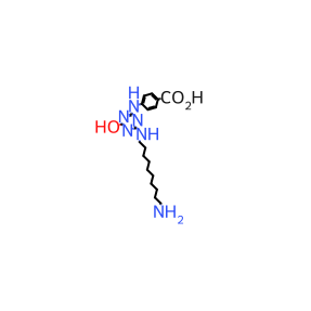 NCCCCCCCCCCNc1nc(O)nc(Nc2ccc(C(=O)O)cc2)n1